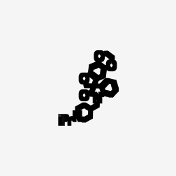 CC(C)N1CCC(CN2C(=O)C3(COc4cc5c(cc43)OCCO5)c3ccccc32)CC1